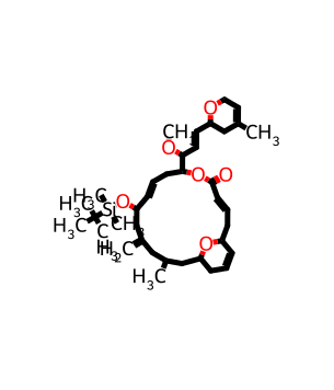 C=C1CC(C)CC2CC=CC(C/C=C/C(=O)OC(C(C=CC3CC(C)=CCO3)OC)C/C=C/C(O[Si](C)(C)C(C)(C)C)C1)O2